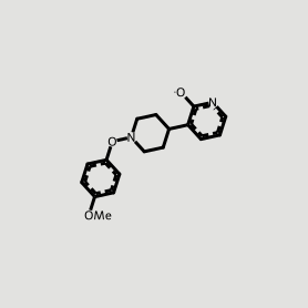 COc1ccc(ON2CCC(c3cccnc3[O])CC2)cc1